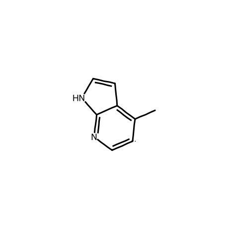 Cc1[c]cnc2[nH]ccc12